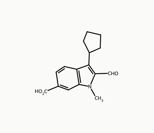 Cn1c(C=O)c(C2CCCC2)c2ccc(C(=O)O)cc21